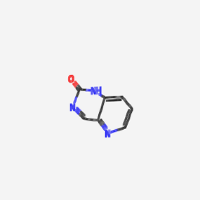 O=c1ncc2ncccc2[nH]1